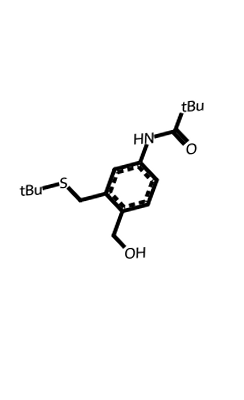 CC(C)(C)SCc1cc(NC(=O)C(C)(C)C)ccc1CO